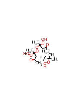 CC(=O)CC(C)(OO)OOC(C)(CC(C)=O)OO.CC(C)(C)OO